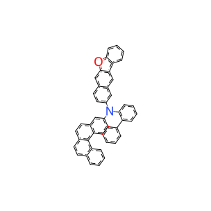 c1ccc(-c2ccccc2N(c2ccc3cc4oc5ccccc5c4cc3c2)c2ccc3c(ccc4ccc5ccccc5c43)c2)cc1